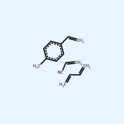 C=CC#N.C=CC=C.C=Cc1ccc(C)cc1